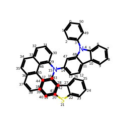 c1ccc(-n2c3ccccc3c3ccc(N(c4cccc5sc6ccccc6c45)c4cccc5ccc6ccc7ccccc7c6c45)cc32)cc1